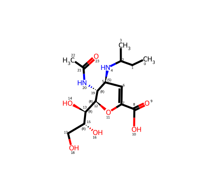 CCC(C)N[C@H]1C=C(C(=O)O)O[C@@H]([C@H](O)[C@H](O)CO)[C@@H]1NC(C)=O